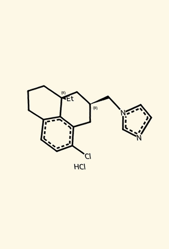 CC[C@]12CCCc3ccc(Cl)c(c31)C[C@H](Cn1ccnc1)C2.Cl